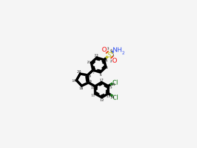 NS(=O)(=O)c1ccc(C2=C(c3ccc(Cl)c(Cl)c3)CCC2)cc1